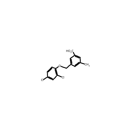 Cc1cc(COc2ccc(Cl)cc2Cl)cc(C(=O)O)c1